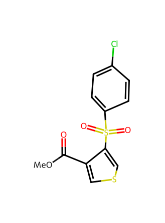 COC(=O)c1cscc1S(=O)(=O)c1ccc(Cl)cc1